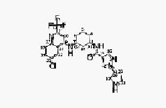 O=C(N[C@@H]1CCC[C@H](Nc2cc(C(F)(F)F)nc3ccc(Cl)cc23)C1)c1cnn([C@H]2CCNC2)c1